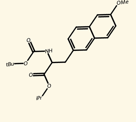 COc1ccc2cc(CC(NC(=O)OC(C)(C)C)C(=O)OC(C)C)ccc2c1